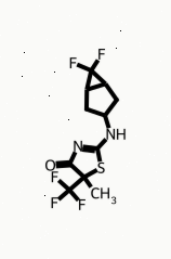 CC1(C(F)(F)F)SC(NC2CC3C(C2)C3(F)F)=NC1=O